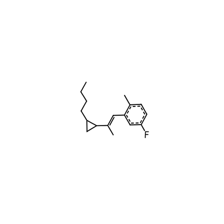 CCCCC1CC1/C(C)=C/c1cc(F)ccc1C